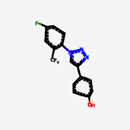 Oc1ccc(-c2cn(-c3ccc(F)cc3C(F)(F)F)nn2)cc1